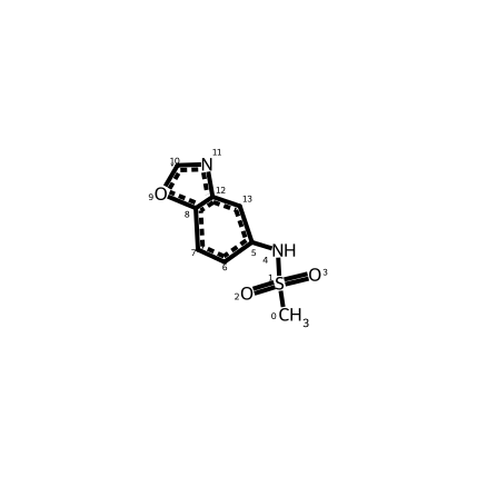 CS(=O)(=O)Nc1ccc2o[c]nc2c1